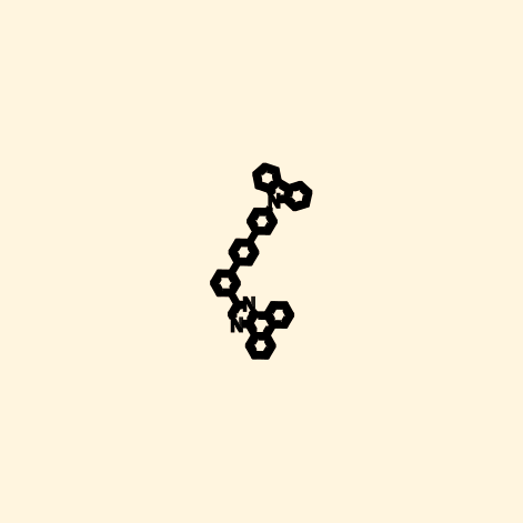 c1cc(-c2ccc(-c3ccc(-n4c5ccccc5c5ccccc54)cc3)cc2)cc(-c2cnc3c4ccccc4c4ccccc4c3n2)c1